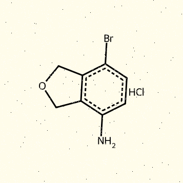 Cl.Nc1ccc(Br)c2c1COC2